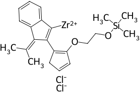 CC(C)=C1C(C2=C(OCCO[Si](C)(C)C)C=CC2)=[C]([Zr+2])c2ccccc21.[Cl-].[Cl-]